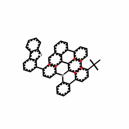 CC(C)(C)c1ccc(-c2ccccc2N(c2ccc(-c3cccc4c3sc3ccccc34)cc2)c2ccccc2-c2cccc3cccc(-c4ccccc4)c23)cc1